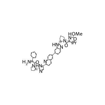 COC(=O)N[C@H](C(=O)N1CCC[C@H]1c1nc2ccc(-c3ccc4nc(-c5cnc([C@@H]6CCCN6C(=O)[C@H](N)c6ccccc6)[nH]5)ccc4c3)cc2[nH]1)C(C)C